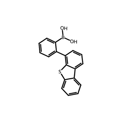 OB(O)c1ccccc1-c1cccc2c1sc1ccccc12